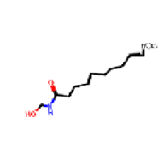 CCCCCCCCC=CCCCCCCCC(=O)NCO